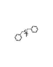 F[Si](Cc1ccccc1)Cc1ccccc1